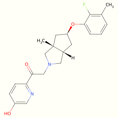 Cc1cccc(O[C@H]2C[C@@H]3CN(CC(=O)c4ccc(O)cn4)C[C@]3(C)C2)c1F